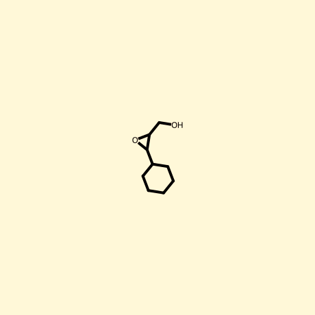 OCC1OC1C1CCCCC1